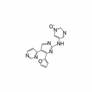 [O-][n+]1cncc(Nc2ncc(-c3ccncn3)c(-c3ccco3)n2)c1